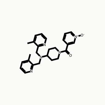 Cc1cccnc1CN(Cc1ncccc1C)C1CCN(C(=O)c2ccc[n+]([O-])c2)CC1